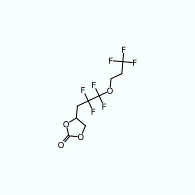 O=C1OCC(CC(F)(F)C(F)(F)OCCC(F)(F)F)O1